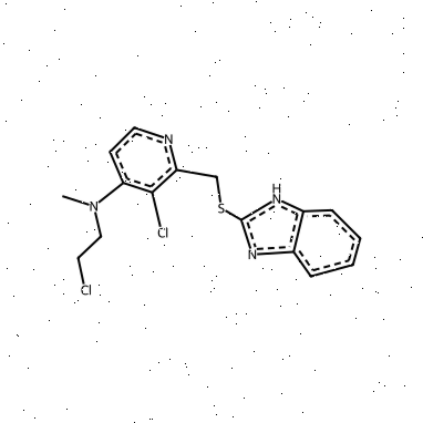 CN(CCCl)c1ccnc(CSc2nc3ccccc3[nH]2)c1Cl